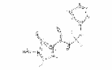 CNn1c(C)nn(C(=O)NC(C)(C)Cc2ccccc2)c1=O